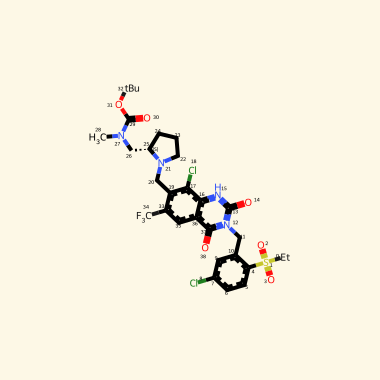 CCS(=O)(=O)c1ccc(Cl)cc1Cn1c(=O)[nH]c2c(Cl)c(CN3CCC[C@H]3CN(C)C(=O)OC(C)(C)C)c(C(F)(F)F)cc2c1=O